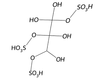 O=S(=O)(O)OC(O)C(O)(OS(=O)(=O)O)C(O)(O)OS(=O)(=O)O